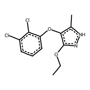 CCOc1n[nH]c(C)c1Oc1cccc(Cl)c1Cl